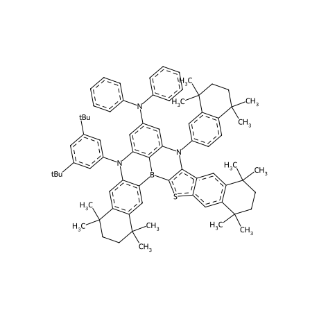 CC(C)(C)c1cc(N2c3cc4c(cc3B3c5sc6cc7c(cc6c5N(c5ccc6c(c5)C(C)(C)CCC6(C)C)c5cc(N(c6ccccc6)c6ccccc6)cc2c53)C(C)(C)CCC7(C)C)C(C)(C)CCC4(C)C)cc(C(C)(C)C)c1